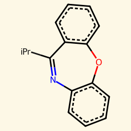 CC(C)C1=Nc2ccccc2Oc2ccccc21